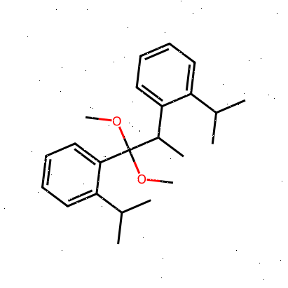 COC(OC)(c1ccccc1C(C)C)C(C)c1ccccc1C(C)C